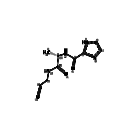 C[C@H](NC(=O)c1ncc[nH]1)C(=O)NCC=O